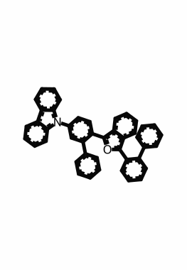 c1ccc(-c2ccccc2-c2oc(-c3ccc(-n4c5ccccc5c5ccccc54)cc3-c3ccccc3)c3ccccc23)cc1